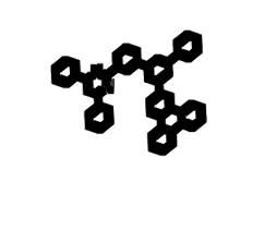 c1ccc(-c2cc(-c3cccc(-c4nc(-c5ccccc5)cc(-c5ccccc5)n4)c3)cc(-c3ccc4c5ccccc5c5ccccc5c4c3)c2)cc1